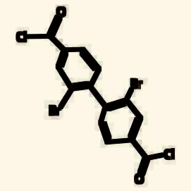 O=C(Cl)c1ccc(-c2ccc(C(=O)Cl)cc2Br)c(Br)c1